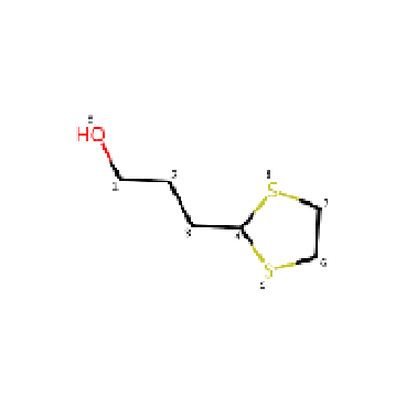 OCCCC1SCCS1